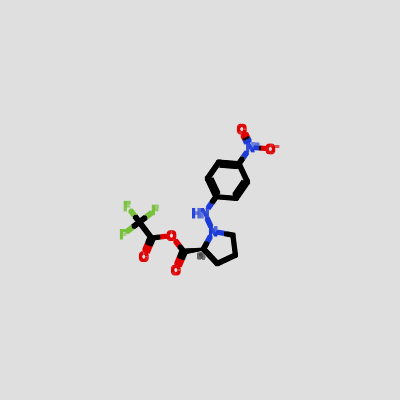 O=C(OC(=O)C(F)(F)F)[C@@H]1CCCN1Nc1ccc([N+](=O)[O-])cc1